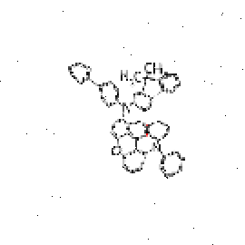 CC1(C)c2ccccc2-c2ccc(N(c3ccc(-c4ccccc4)cc3)c3ccc4c5c(cccc35)-c3c(cccc3N(c3ccccc3)c3ccccc3)O4)cc21